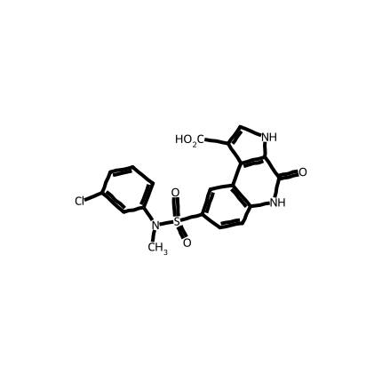 CN(c1cccc(Cl)c1)S(=O)(=O)c1ccc2[nH]c(=O)c3[nH]cc(C(=O)O)c3c2c1